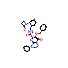 O=C(NCc1ccc(F)cc1N1CCC1=O)c1nc2n(c(=O)c1OCc1ccccc1)CCN2c1ccccc1